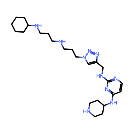 c1cc(NC2CCNCC2)nc(NCc2cn(CCCNCCCNC3CCCCC3)nn2)n1